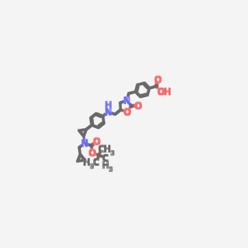 CC(C)(C)OC(=O)N(CC1CC1)[C@H]1CC1c1ccc(NCC2CN(Cc3ccc(C(=O)O)cc3)C(=O)O2)cc1